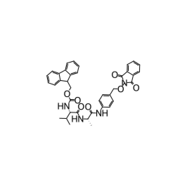 CC(C)[C@H](NC(=O)OCC1c2ccccc2-c2ccccc21)C(=O)N[C@@H](C)C(=O)Nc1ccc(CON2C(=O)c3ccccc3C2=O)cc1